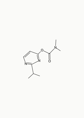 CC(C)c1nccc(OC(=O)N(C)C)n1